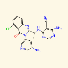 CC(Nc1ncnc(N)c1C#N)c1nc2cccc(Cl)c2c(=O)n1-c1cncc(N)c1